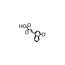 COc1ccc(/C=C/C(=O)C(=O)O)c2ccccc12